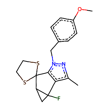 COc1ccc(Cn2nc(C)c3c2C2(SCCS2)C2CC32F)cc1